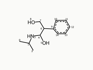 CC(C)NC(O)C(CO)c1ccccc1